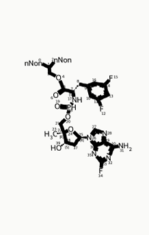 CCCCCCCCCC(CCCCCCCCC)COC(=O)[C@H](Cc1cc(F)cc(F)c1)N[PH](=O)OC[C@@]1(C)O[C@@H](n2cnc3c(N)nc(F)nc32)C[C@@H]1O